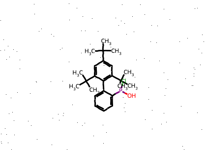 CC(C)(C)c1cc(C(C)(C)C)c(-c2ccccc2P(O)Cl)c(C(C)(C)C)c1